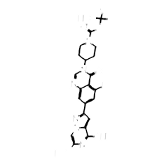 Cc1cn2nc(-c3cc(F)c4c(=O)n(C5CCN(C(=O)OC(C)(C)C)CC5)cnc4c3)cc2c(C)n1